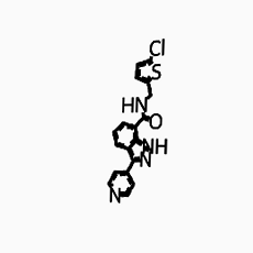 O=C(NCc1ccc(Cl)s1)c1cccc2c(-c3ccncc3)n[nH]c12